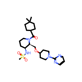 CC1(C)CCC(C(=O)N2CCC[C@H](NS(C)(=O)=O)[C@@H]2COC2CCN(c3ncccn3)CC2)CC1